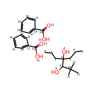 CCCC(O)(CCC)C(O)C(C)(C)C.O=C(O)c1ccccc1.O=C(O)c1ccccc1